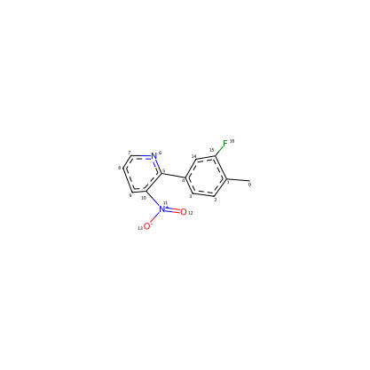 Cc1ccc(-c2ncccc2[N+](=O)[O-])cc1F